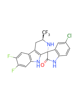 O=C1Nc2ccc(Cl)cc2[C@@]12N[C@H](C(F)(F)F)Cc1c2[nH]c2cc(F)c(F)cc12